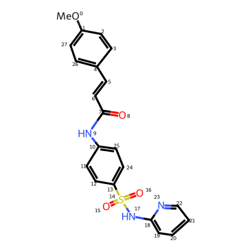 COc1ccc(/C=C/C(=O)Nc2ccc(S(=O)(=O)Nc3ccccn3)cc2)cc1